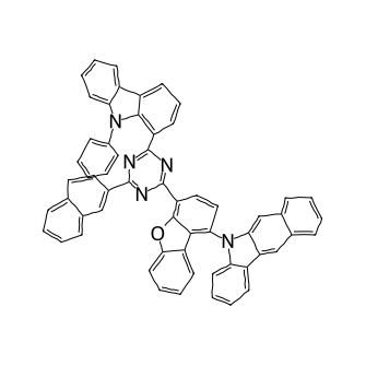 c1ccc(-n2c3ccccc3c3cccc(-c4nc(-c5ccc6ccccc6c5)nc(-c5ccc(-n6c7ccccc7c7cc8ccccc8cc76)c6c5oc5ccccc56)n4)c32)cc1